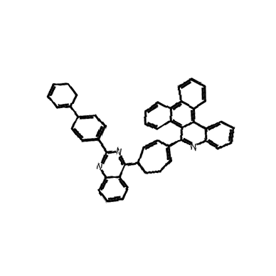 C1=CCCC(c2ccc(-c3nc(C4C=CC(c5nc6ccccc6c6c7ccccc7c7ccccc7c56)=CCC4)c4ccccc4n3)cc2)=C1